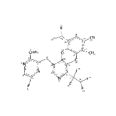 COc1ncc(F)cc1Cn1cnc(C(F)(F)C(F)F)c(Oc2cc(C(F)F)cc(C#N)c2C)c1=O